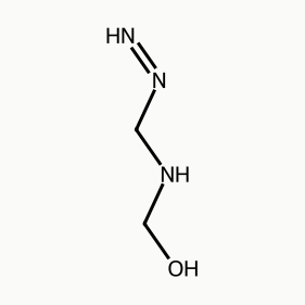 N=NCNCO